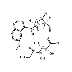 C=C[C@H]1C[N@]2CC[C@H]1C[C@@H]2[C@@H](O)c1ccnc2ccc(OC)cc12.O=C(O)[C@H](O)[C@@H](O)[C@H](O)[C@H](O)CO